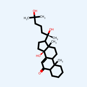 CC(C)(O)CCC[C@](C)(O)C1CC[C@@]2(O)C3=CC(=O)C4CCCCC4(C)C3CCC12C